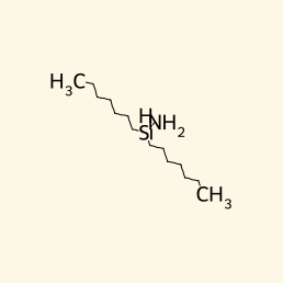 CCCCCCC[SiH](N)CCCCCCC